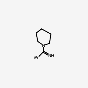 CC(C)C(=N)N1CCCCC1